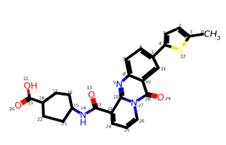 Cc1ccc(-c2ccc3nc4c(C(=O)NC5CCC(C(=O)O)CC5)cccn4c(=O)c3c2)s1